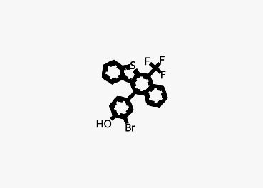 Oc1ccc(-c2c3ccccc3c(C(F)(F)F)c3sc4ccccc4c23)cc1Br